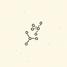 C(#Cc1cc(C#Cc2ccccc2)cc(C#Cc2ccccc2)c1)c1ccccc1.c1ccc(CCc2ccc(CCc3ccccc3)c(CCc3ccccc3)c2CCc2ccccc2)cc1